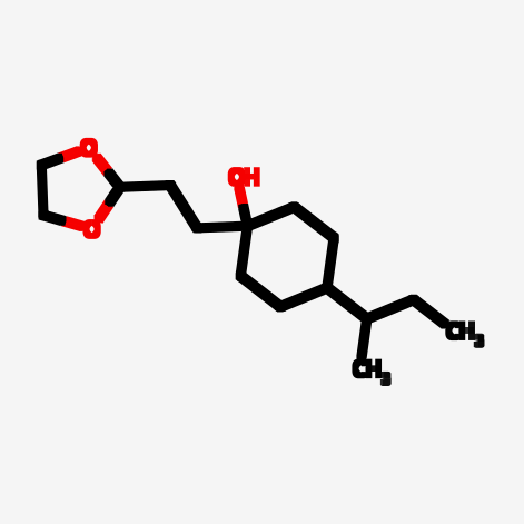 CCC(C)C1CCC(O)(CCC2OCCO2)CC1